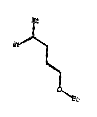 C[CH]OCCCC(CC)CC